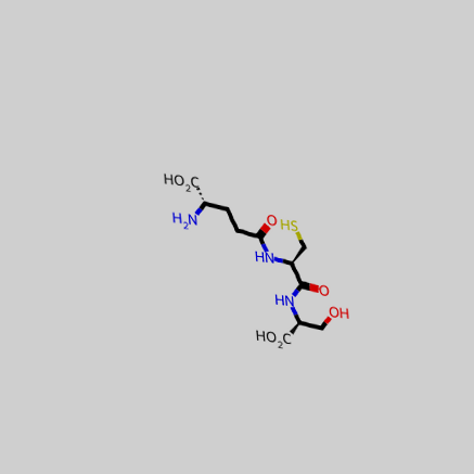 N[C@@H](CCC(=O)N[C@@H](CS)C(=O)N[C@@H](CO)C(=O)O)C(=O)O